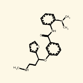 CNCCC(Oc1cccc(C(=O)Nc2ccccc2N(C)C)c1)c1cccs1